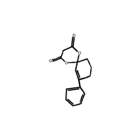 O=C1CC(=O)OC2(C=C(c3ccccc3)CCC2)O1